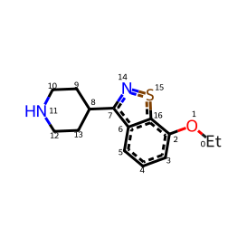 CCOc1cccc2c(C3CCNCC3)nsc12